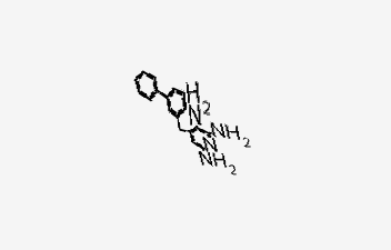 Nc1cc(Cc2cccc(-c3ccccc3)c2)c(N)c(N)n1